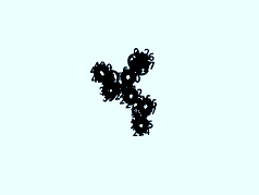 CC1(C)OB(c2ccc3c(c2)c2cc(-c4cccc5c4sc4ccccc45)ccc2n3-c2cccc3c2oc2ccccc23)OC1(C)C